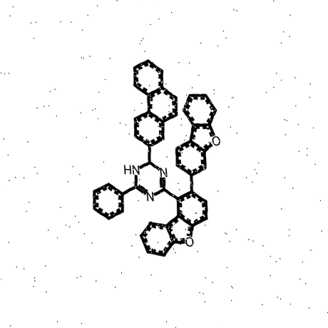 c1ccc(C2=NC(c3c(-c4ccc5c(c4)oc4ccccc45)ccc4oc5ccccc5c34)=NC(c3ccc4c(ccc5ccccc54)c3)N2)cc1